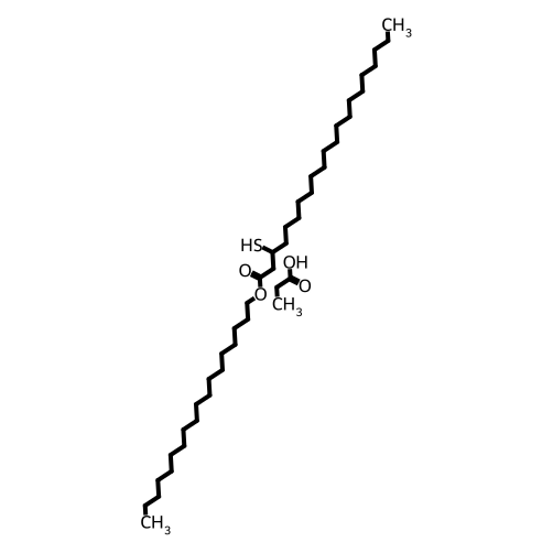 CCC(=O)O.CCCCCCCCCCCCCCCCCCOC(=O)CC(S)CCCCCCCCCCCCCCCCCC